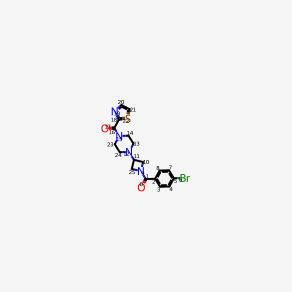 O=C(c1ccc(Br)cc1)N1CC(N2CCN(C(=O)c3nccs3)CC2)C1